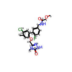 COCC(=O)NCc1ccc(F)c(-c2cc(Cl)c(C)cc2OCc2n[nH]c(=O)n2C)c1